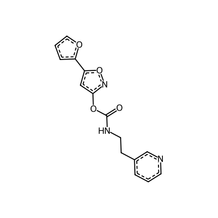 O=C(NCCc1cccnc1)Oc1cc(-c2ccco2)on1